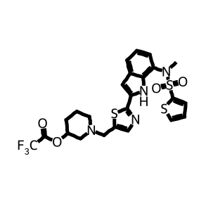 CN(c1cccc2cc(-c3ncc(CN4CCCC(OC(=O)C(F)(F)F)C4)s3)[nH]c12)S(=O)(=O)c1cccs1